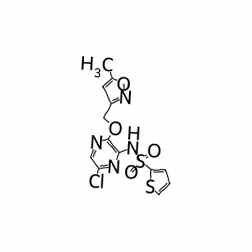 Cc1cc(COc2ncc(Cl)nc2NS(=O)(=O)c2cccs2)no1